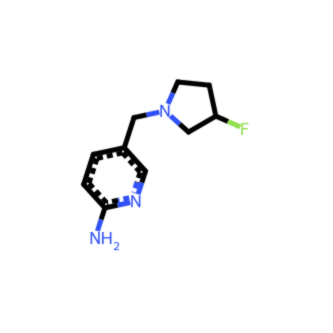 Nc1ccc(CN2CCC(F)C2)cn1